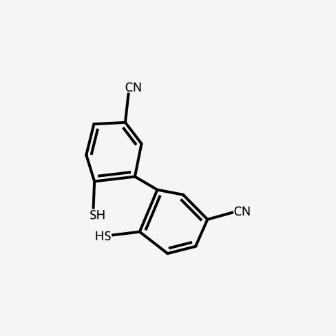 N#Cc1ccc(S)c(-c2cc(C#N)ccc2S)c1